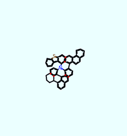 c1ccc(N(c2ccccc2-c2cccc3cccc(C4CCCCC4)c23)c2cccc3sc4ccccc4c23)c(-c2cccc3c2ccc2ccccc23)c1